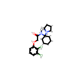 CN(C(=O)COc1cccc(Cl)c1Cl)C1(N2CCCC2)CCCCC1